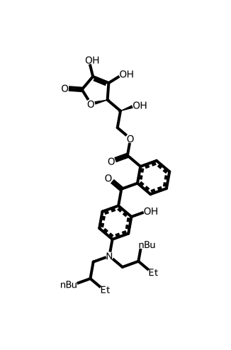 CCCCC(CC)CN(CC(CC)CCCC)c1ccc(C(=O)c2ccccc2C(=O)OC[C@H](O)[C@H]2OC(=O)C(O)=C2O)c(O)c1